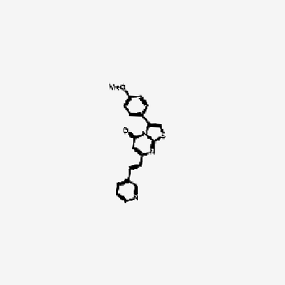 COc1ccc(-c2csc3nc(/C=C/c4cccnc4)cc(=O)n23)cc1